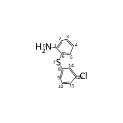 Nc1ccccc1Sc1cccc(Cl)c1